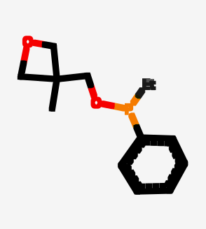 CCP(OCC1(C)COC1)c1ccccc1